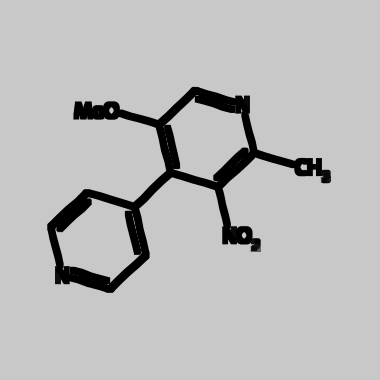 COc1cnc(C)c([N+](=O)[O-])c1-c1ccncc1